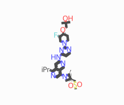 CC(C)c1ncc(N2C[C@H](CS(C)(=O)=O)[C@H]2C)c2cnc(Nc3ccnc(N4CC[C@H](OCC(C)(C)O)[C@H](F)C4)n3)cc12